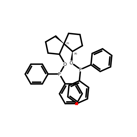 c1ccc(P(OC2CCC[C@]23CCC[C@H]3OP(c2ccccc2)c2ccccc2)c2ccccc2)cc1